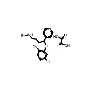 CCNCCCC(Oc1cc(Cl)ccc1C#N)c1ccncc1.O=C(O)C(=O)O